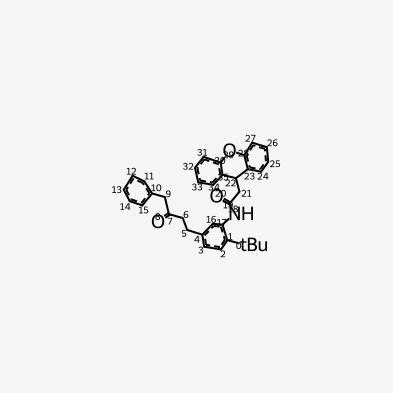 CC(C)(C)c1ccc(CCC(=O)Cc2ccccc2)cc1NC(=O)CC1c2ccccc2Oc2ccccc21